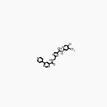 O=C(NCc1ncc(C(O)Nc2cc(C(F)(F)F)c(Cl)cn2)s1)c1cc(-c2ccncc2)ncn1